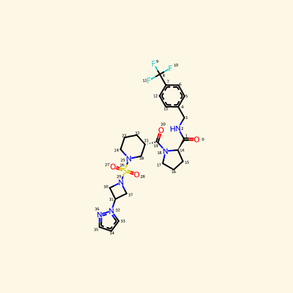 O=C(NCc1ccc(C(F)(F)F)cc1)[C@H]1CCCN1C(=O)[C@H]1CCCN(S(=O)(=O)N2CC(n3cccn3)C2)C1